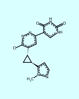 Cn1nccc1[C@H]1C[C@@H]1c1cc(-c2c[nH]c(=O)[nH]c2=O)nnc1Cl